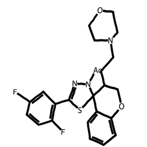 CC(=O)N1N=C(c2cc(F)ccc2F)SC12c1ccccc1OCC2CCN1CCOCC1